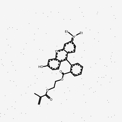 C=C(C)C(=O)OCCOC(=O)c1ccccc1-c1c2ccc(=[N+](CC)CC)cc-2oc2cc(O)ccc12